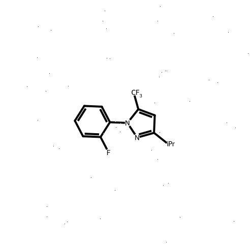 CC(C)c1cc(C(F)(F)F)n(-c2ccccc2F)n1